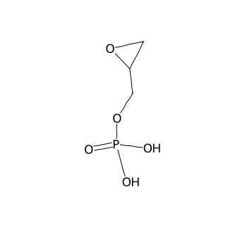 O=P(O)(O)OCC1CO1